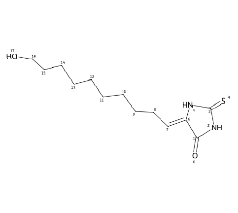 O=C1NC(=S)N/C1=C\CCCCCCCCCO